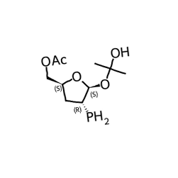 CC(=O)OC[C@@H]1C[C@@H](P)[C@H](OC(C)(C)O)O1